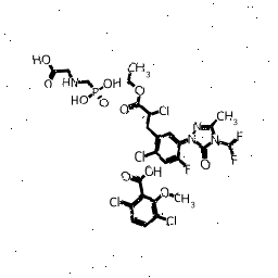 CCOC(=O)C(Cl)Cc1cc(-n2nc(C)n(C(F)F)c2=O)c(F)cc1Cl.COc1c(Cl)ccc(Cl)c1C(=O)O.O=C(O)CNCP(=O)(O)O